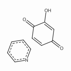 O=C1C=CC(=O)C(O)=C1.c1ccncc1